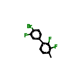 Cc1ccc(-c2ccc(Br)c(F)c2)c(F)c1F